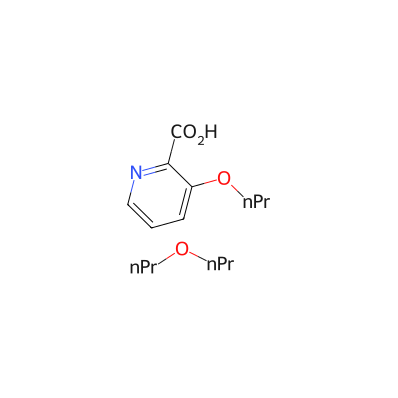 CCCOCCC.CCCOc1cccnc1C(=O)O